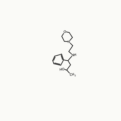 CC(O)CC(NCCN1CCOCC1)c1ccccc1